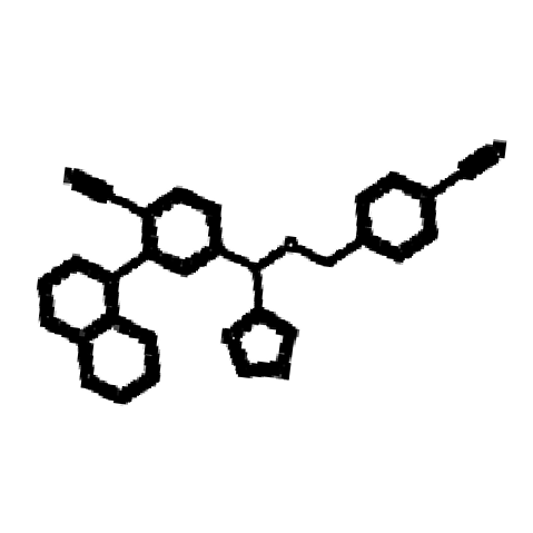 N#Cc1ccc(COC(c2ccc(C#N)c(-c3cccc4ccccc34)c2)c2cncs2)cc1